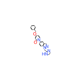 O=c1cc(OCc2ccccc2)ccn1-c1ccc2c(cnn2CC2=NCCN2)c1